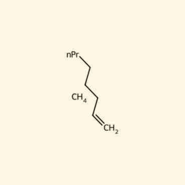 C.C=CCCCCCC